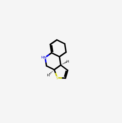 C1=C[C@@H]2C3CCCC=C3NC[C@@H]2S1